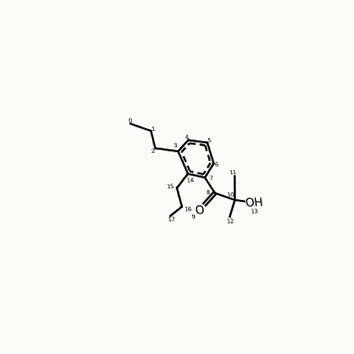 CCCc1cccc(C(=O)C(C)(C)O)c1CCC